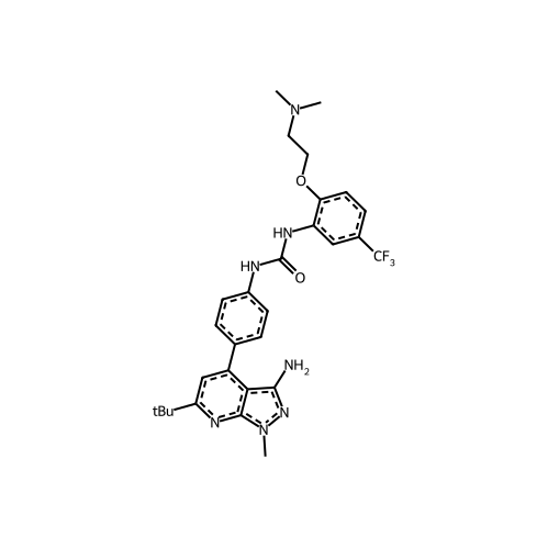 CN(C)CCOc1ccc(C(F)(F)F)cc1NC(=O)Nc1ccc(-c2cc(C(C)(C)C)nc3c2c(N)nn3C)cc1